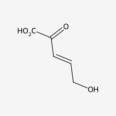 O=C(O)C(=O)C=CCO